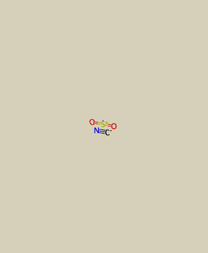 O=[S+]=O.[C-]#N